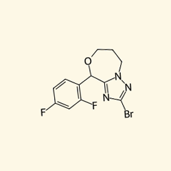 Fc1ccc(C2OCCCn3nc(Br)nc32)c(F)c1